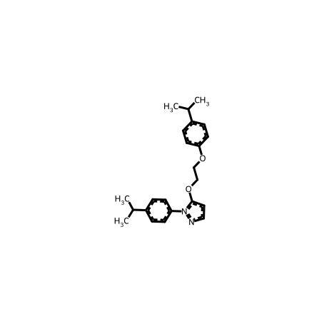 CC(C)c1ccc(OCCOc2ccnn2-c2ccc(C(C)C)cc2)cc1